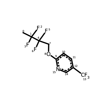 CC(F)(F)C(F)(F)COc1ccc(C(F)(F)F)cn1